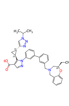 CC[C@@H]1CN(Cc2cccc(-c3cccc(-n4ncc(C(=O)O)c4[C@H]4C[C@@H]4c4cn(C(C)C)nn4)c3)c2)Cc2ccccc2O1